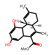 COC(=O)C1=C(C)[C@@H]2CCC(C)=C[C@H]2C2C(O)=CC(O)=CC12